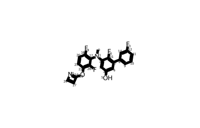 CN(c1cc(O)cc(-c2cccc(F)c2)c1F)c1c(F)ccc(OC2=NC=C2)c1F